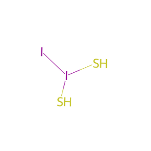 SI(S)I